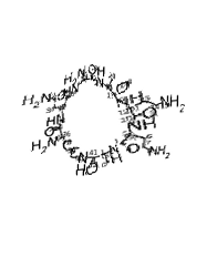 C[C@@H]1NC(=O)[C@H](CCN)NC(=O)[C@H](CCN)NC(=O)[C@H](C)NC(=O)[C@@H](N)NC(=O)[C@H](CCN)NC(=O)[C@@H](N)CCNC1=O